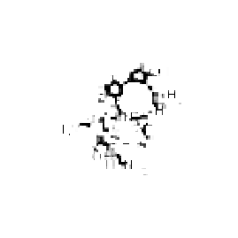 NCCC[C@H](NC(=O)[C@@H]1Cc2cc(ccc2O)-c2ccc(O)c(c2)C[C@H](N)C(=O)N[C@@H](CCCN)C(=O)N1)C(=O)N[C@@H](CO)C(=O)NCCN